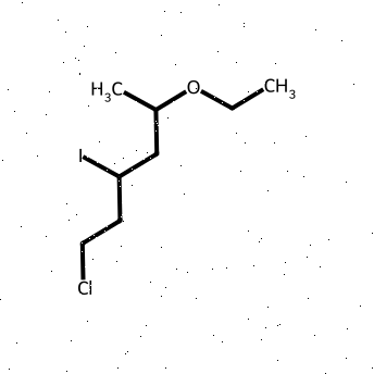 CCOC(C)CC(I)CCCl